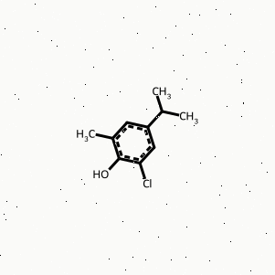 Cc1cc(C(C)C)cc(Cl)c1O